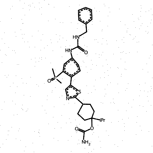 CC(C)C1(OC(N)=O)CCC(c2ncc(-c3ccc(NC(=O)NCc4ccccc4)cc3P(C)(C)=O)s2)CC1